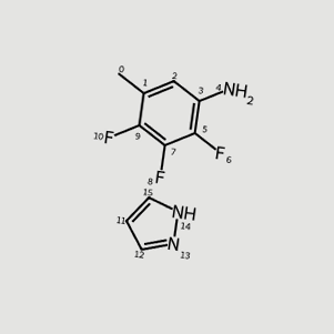 Cc1cc(N)c(F)c(F)c1F.c1cn[nH]c1